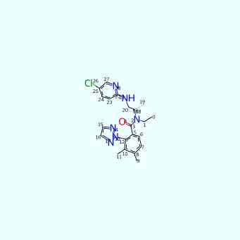 CCN(C(=O)c1ccc(C)c(C)c1-n1nccn1)[C@@H](C)CNc1ccc(Cl)cn1